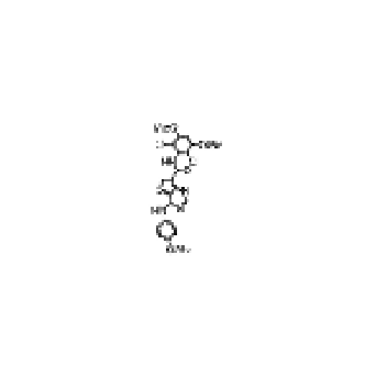 COc1ccc(Nc2ncnc3c(C(=O)Nc4c(Cl)c(OC)cc(OC)c4Cl)csc23)cc1